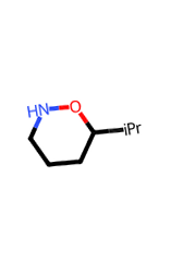 CC(C)C1CCCNO1